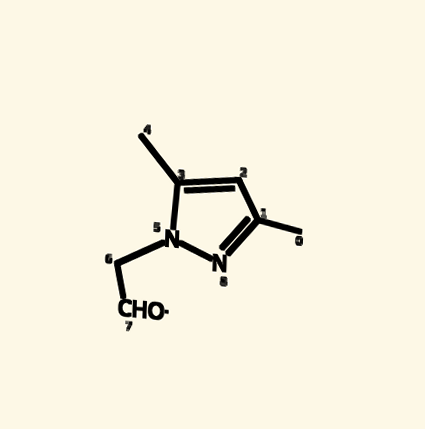 Cc1cc(C)n(C[C]=O)n1